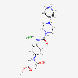 COC(=O)CN(C(C)=O)[C@H]1CC[C@H](NC(=O)N2CCN(c3ccncc3)CC2)CC1.Cl